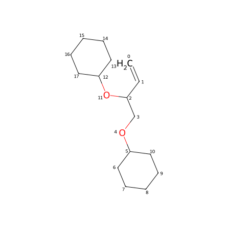 C=CC(COC1CCCCC1)OC1CCCCC1